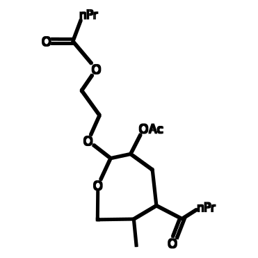 CCCC(=O)OCCOC1OCC(C)C(C(=O)CCC)CC1OC(C)=O